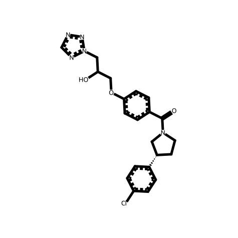 O=C(c1ccc(OCC(O)Cn2ncnn2)cc1)N1CC[C@H](c2ccc(Cl)cc2)C1